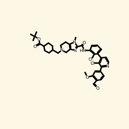 COc1cc(-c2nccc(-c3cccc(NC(=O)c4nc5c(n4C)CCN(CC4CCC(C(=O)OC(C)(C)C)CC4)C5)c3Cl)c2Cl)ccc1C=O